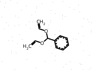 C=COC(OC=C)c1ccccc1